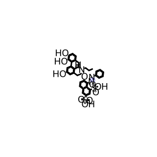 CCCN1C(Oc2ccc3cc(S(=O)(=O)O)cc(S(=O)(=O)O)c3c2/N=N/c2ccccc2)Cc2cc(O)cc3c2[C@H]1Cc1ccc(O)c(O)c1-3